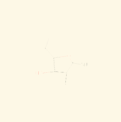 BC1OC(CI)C(O)C1C